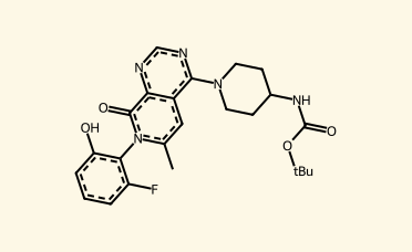 Cc1cc2c(N3CCC(NC(=O)OC(C)(C)C)CC3)ncnc2c(=O)n1-c1c(O)cccc1F